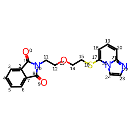 O=C1c2ccccc2C(=O)N1CCOCCSc1cccc2nccn12